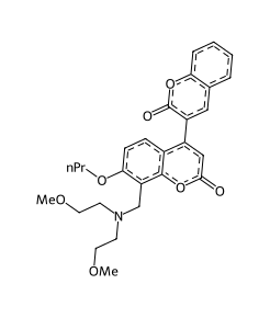 CCCOc1ccc2c(-c3cc4ccccc4oc3=O)cc(=O)oc2c1CN(CCOC)CCOC